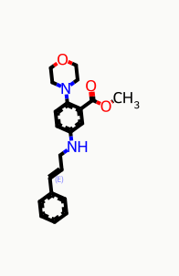 COC(=O)c1cc(NC/C=C/c2ccccc2)ccc1N1CCOCC1